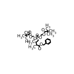 C[C@H](C(=O)OCc1ccccc1)[C@@H](C)CP(=O)(OCOC(=O)C(C)(C)C)OCOC(=O)C(C)(C)C